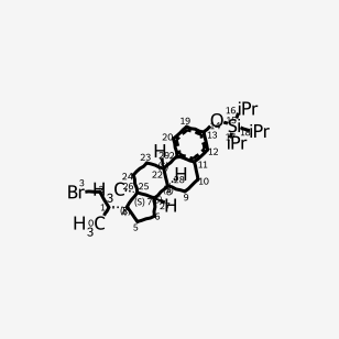 CC(CBr)[C@H]1CC[C@H]2[C@@H]3CCc4cc(O[Si](C(C)C)(C(C)C)C(C)C)ccc4[C@H]3CC[C@]12C